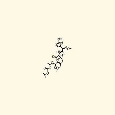 COCC1=C(C(=O)OC(C)OC(=O)OC(C)C)N2C(=O)C(NC(=O)/C(=N\OC)c3csc(N)n3)[C@@H]2SC1